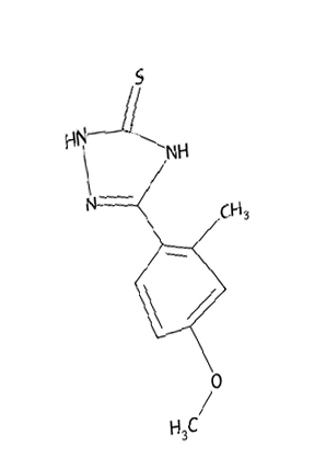 COc1ccc(-c2n[nH]c(=S)[nH]2)c(C)c1